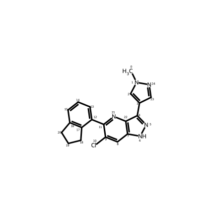 Cn1cc(-c2n[nH]c3cc(Cl)c(-c4cccc5c4CCC5)nc23)cn1